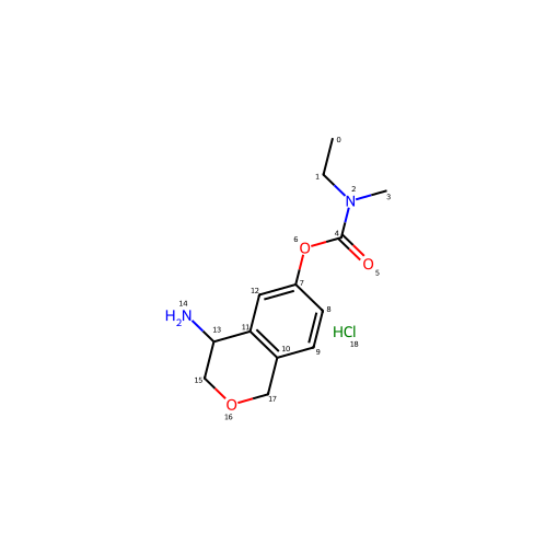 CCN(C)C(=O)Oc1ccc2c(c1)C(N)COC2.Cl